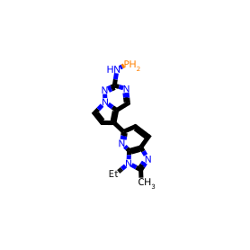 CCn1c(C)nc2ccc(-c3ccn4nc(NP)ncc34)nc21